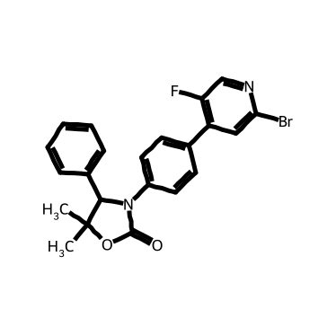 CC1(C)OC(=O)N(c2ccc(-c3cc(Br)ncc3F)cc2)C1c1ccccc1